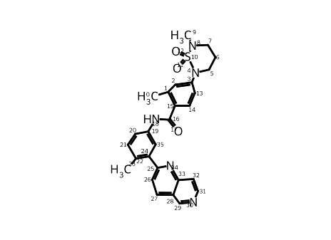 Cc1cc(N2CCCN(C)S2(=O)=O)ccc1C(=O)Nc1ccc(C)c(-c2ccc3cnccc3n2)c1